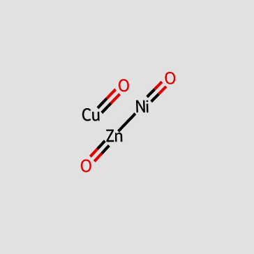 [O]=[Cu].[O]=[Ni][Zn]=[O]